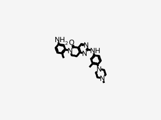 Cc1cc(Nc2ncc3c(n2)CCN(c2cc(N)ccc2C)C3=O)ccc1N1CCN(C)CC1